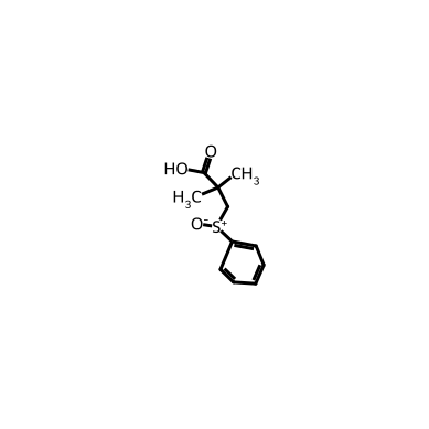 CC(C)(C[S+]([O-])c1ccccc1)C(=O)O